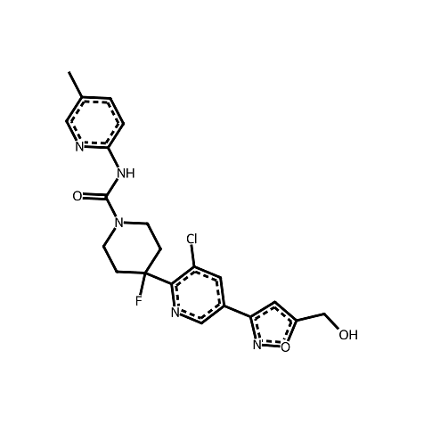 Cc1ccc(NC(=O)N2CCC(F)(c3ncc(-c4cc(CO)on4)cc3Cl)CC2)nc1